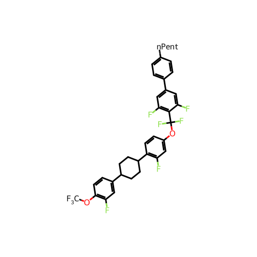 CCCCCc1ccc(-c2cc(F)c(C(F)(F)Oc3ccc(C4CCC(c5ccc(OC(F)(F)F)c(F)c5)CC4)c(F)c3)c(F)c2)cc1